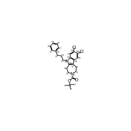 CC(C)(C)OC(=O)N1CCc2c(n(CCCc3ccccc3)c3cc(Cl)c(Cl)cc23)CC1